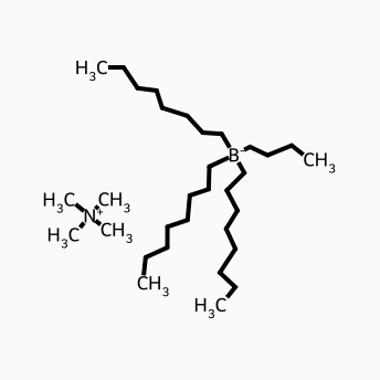 CCCCCCCC[B-](CCCC)(CCCCCCCC)CCCCCCCC.C[N+](C)(C)C